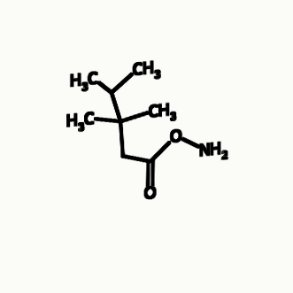 CC(C)C(C)(C)CC(=O)ON